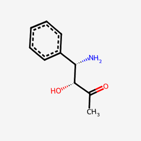 CC(=O)[C@H](O)[C@@H](N)c1ccccc1